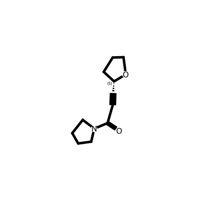 O=C(C#C[C@@H]1CCCO1)N1CCCC1